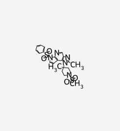 Cc1nc2cnc3c(ccn3S(=O)(=O)c3ccccc3)c2n1C1(C)CCN(S(C)(=O)=O)CC1